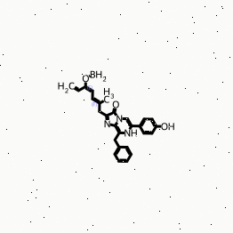 BO/C(C=C)=C/C=C(\C)Cc1nc2c(Cc3ccccc3)[nH]c(-c3ccc(O)cc3)cn-2c1=O